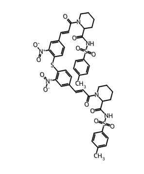 Cc1ccc(S(=O)(=O)NC(=O)C2CCCCN2C(=O)/C=C/c2ccc(Sc3ccc(/C=C/C(=O)N4CCCCC4C(=O)NS(=O)(=O)c4ccc(C)cc4)cc3[N+](=O)[O-])c([N+](=O)[O-])c2)cc1